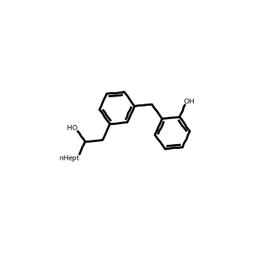 CCCCCCCC(O)Cc1cccc(Cc2ccccc2O)c1